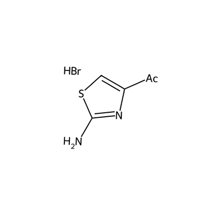 Br.CC(=O)c1csc(N)n1